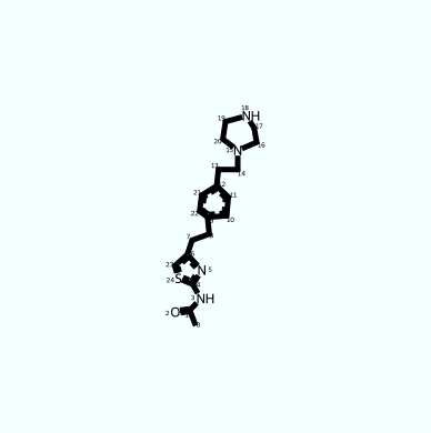 CC(=O)Nc1nc(CCc2ccc(CCN3CCNCC3)cc2)cs1